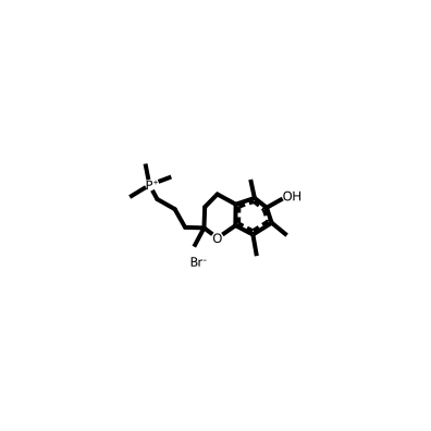 Cc1c(C)c2c(c(C)c1O)CCC(C)(CCC[P+](C)(C)C)O2.[Br-]